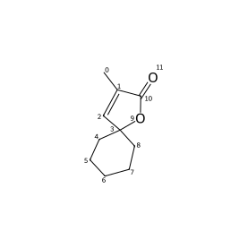 CC1=CC2(CCCCC2)OC1=O